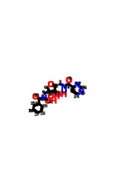 O=C(NC[C@H]1OC[C@@](O)(CN(O)C(=O)c2ccccc2)[C@@H]1O)c1ccncn1